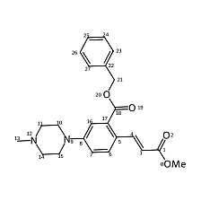 COC(=O)/C=C/c1ccc(N2CCN(C)CC2)cc1C(=O)OCc1ccccc1